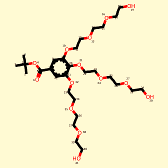 CC(C)(C)OC(=O)c1cc(OCCOCCOCCO)c(OCCOCCOCCO)c(OCCOCCOCCO)c1